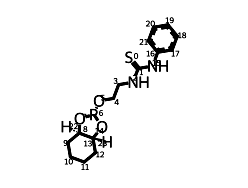 S=C(NCCOP1O[C@@H]2CCCC[C@H]2O1)Nc1ccccc1